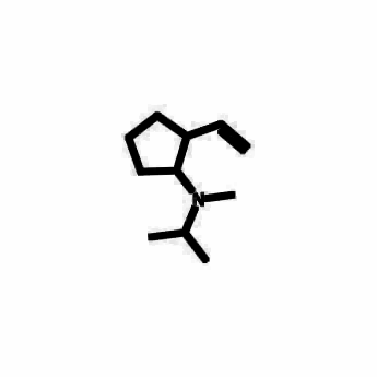 C=CC1CCCC1N(C)C(C)C